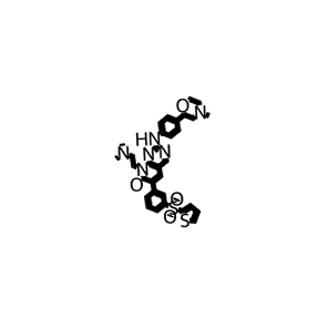 CN(C)CCn1c(=O)c(-c2cccc(S(=O)(=O)c3cccs3)c2)cc2cnc(Nc3ccc(C4CN(C)CCO4)cc3)nc21